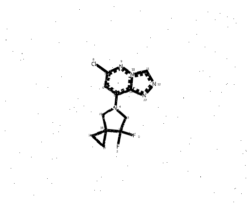 FC1(F)CN(c2cc(Cl)nn3cnnc23)CC12CC2